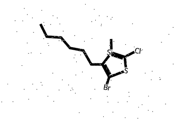 CCCCCCc1c(Br)sc(Cl)[si]1C